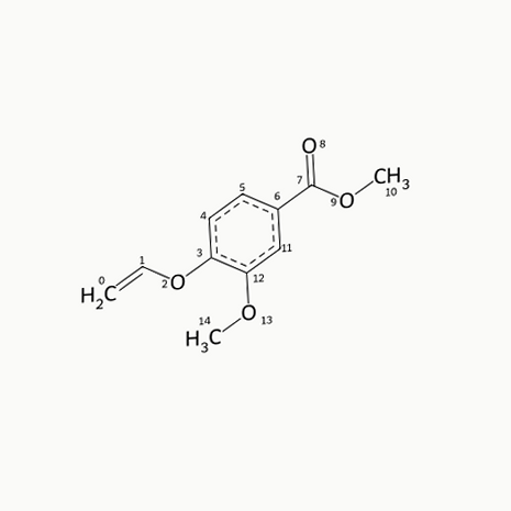 C=COc1ccc(C(=O)OC)cc1OC